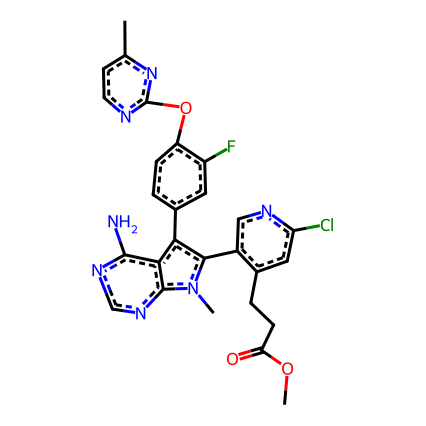 COC(=O)CCc1cc(Cl)ncc1-c1c(-c2ccc(Oc3nccc(C)n3)c(F)c2)c2c(N)ncnc2n1C